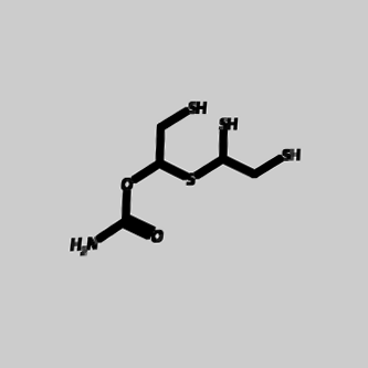 NC(=O)OC(CS)SC(S)CS